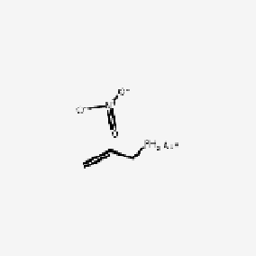 C=CCP.O=[N+]([O-])[O-].[Au+]